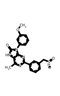 COc1cccc(-n2c(=O)[nH]c3c(C)nc(-c4cccc(C[SH](=O)=O)c4)nc32)c1